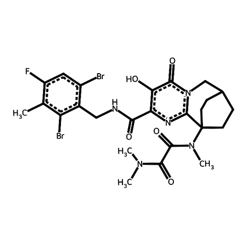 Cc1c(F)cc(Br)c(CNC(=O)c2nc3n(c(=O)c2O)CC2CCC3(N(C)C(=O)C(=O)N(C)C)CC2)c1Br